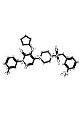 O=c1c(OC2CCCC2)c(N2CCN(S(=O)(=O)Cc3cccc([N+](=O)[O-])c3)CC2)cnn1-c1cccc(Cl)c1